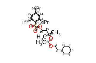 CC(OCCC1CCCCC1)OC(C)(C)CCOS(=O)(=O)c1c(C(C)C)cc(C(C)C)cc1C(C)C